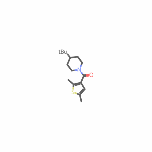 Cc1cc(C(=O)N2CCC(C(C)(C)C)CC2)c(C)s1